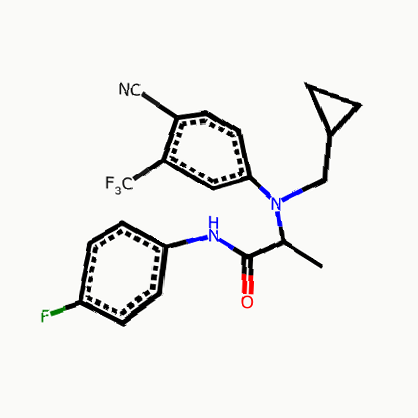 CC(C(=O)Nc1ccc(F)cc1)N(CC1CC1)c1ccc(C#N)c(C(F)(F)F)c1